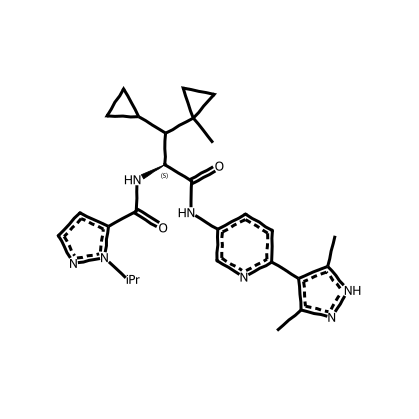 Cc1n[nH]c(C)c1-c1ccc(NC(=O)[C@@H](NC(=O)c2ccnn2C(C)C)C(C2CC2)C2(C)CC2)cn1